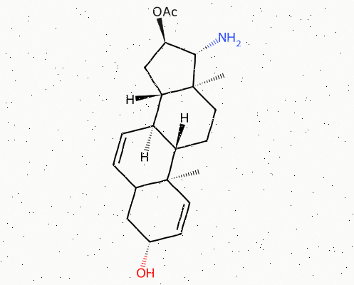 CC(=O)O[C@@H]1C[C@H]2[C@@H]3C=CC4C[C@@H](O)C=C[C@]4(C)[C@H]3CC[C@]2(C)[C@H]1N